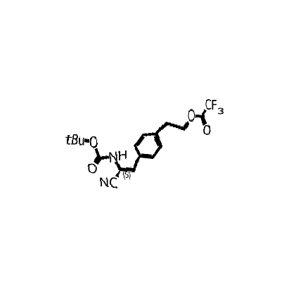 CC(C)(C)OC(=O)N[C@H](C#N)Cc1ccc(CCOC(=O)C(F)(F)F)cc1